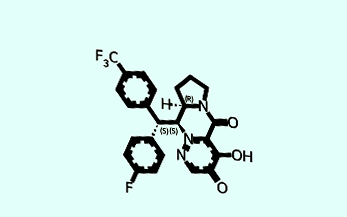 O=C1c2c(O)c(=O)cnn2[C@@H]([C@H](c2ccc(F)cc2)c2ccc(C(F)(F)F)cc2)[C@H]2CCCN12